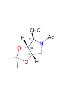 CC(=O)N1C[C@@H]2OC(C)(C)O[C@@H]2[C@H]1C=O